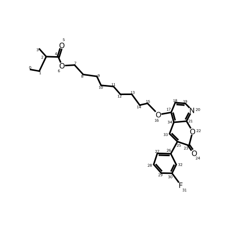 CCC(C)C(=O)OCCCCCCCCCOc1ccnc2oc(=O)c(-c3cccc(F)c3)cc12